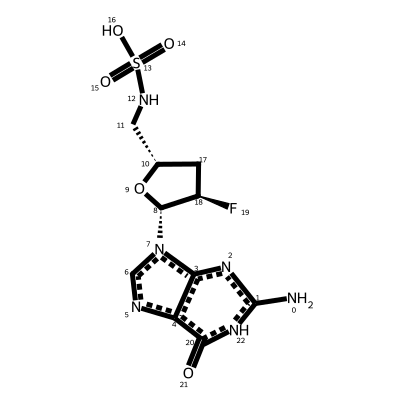 Nc1nc2c(ncn2[C@@H]2O[C@H](CNS(=O)(=O)O)C[C@H]2F)c(=O)[nH]1